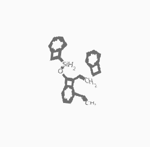 C=CC1=C(O[SiH2]C2=Cc3ccccc32)c2cccc(C=C)c21.c1ccc2c(c1)CC2